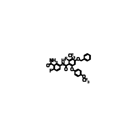 NC(=O)c1cc(NC(=O)c2c(Oc3ccc(OC(F)(F)F)cc3)cc(OCc3ccccc3)c(C(F)(F)F)c2F)ccc1F